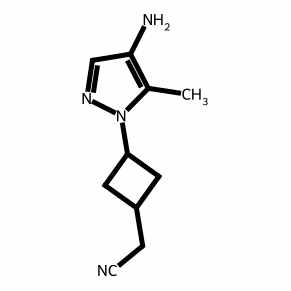 Cc1c(N)cnn1C1CC(CC#N)C1